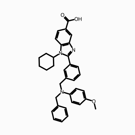 COc1ccc(N(Cc2ccccc2)Cc2cccc(-c3nc4cc(C(=O)O)ccc4n3C3CCCCC3)c2)cc1